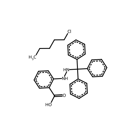 CCCCCCl.O=C(O)c1ccccc1NNC(c1ccccc1)(c1ccccc1)c1ccccc1